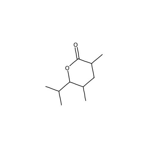 CC1CC(C)C(C(C)C)OC1=O